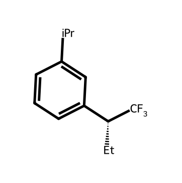 CC[C@H](c1cccc(C(C)C)c1)C(F)(F)F